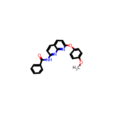 COc1ccc(Oc2ccc3ccc(NC(=O)c4ccccc4)nc3n2)cc1